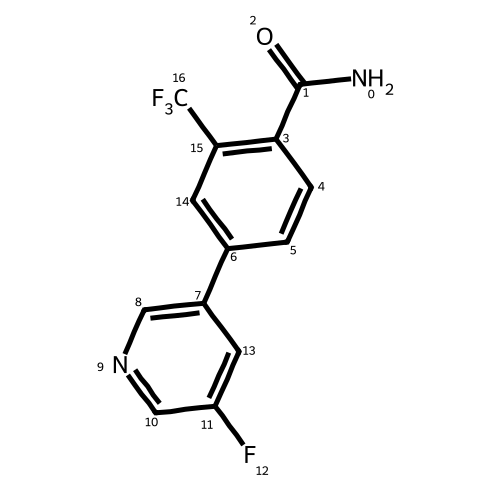 NC(=O)c1ccc(-c2cncc(F)c2)cc1C(F)(F)F